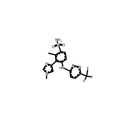 Cc1c(S(N)(=O)=O)ccc(Nc2ccc(C(F)(F)F)nn2)c1-c1cn(C)cn1